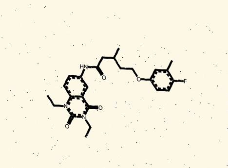 CCn1c(=O)c2cc(NC(=O)CC(C)CCOc3ccc(F)c(C)c3)ccc2n(CC)c1=O